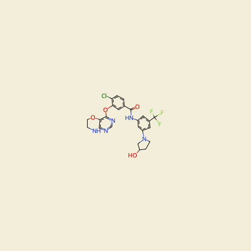 O=C(Nc1cc(N2CCC(O)C2)cc(C(F)(F)F)c1)c1ccc(Cl)c(Oc2ncnc3c2OCCN3)c1